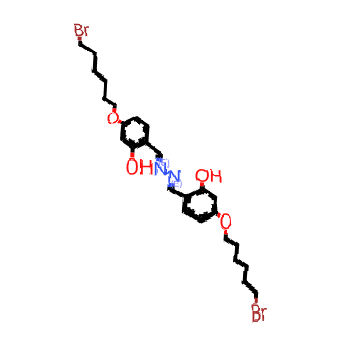 Oc1cc(OCCCCCCBr)ccc1/C=N/N=C/c1ccc(OCCCCCCBr)cc1O